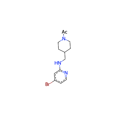 CC(=O)N1CCC(CNc2cc(Br)ccn2)CC1